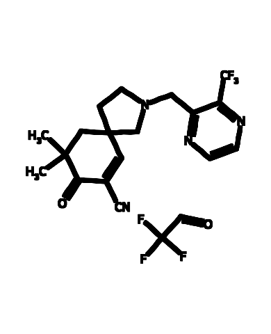 CC1(C)CC2(C=C(C#N)C1=O)CCN(Cc1nccnc1C(F)(F)F)C2.O=CC(F)(F)F